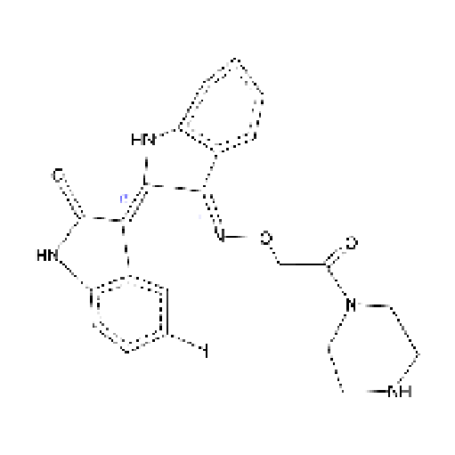 O=C1Nc2ccc(I)cc2/C1=C1/Nc2ccccc2/C1=N\OCC(=O)N1CCNCC1